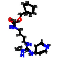 N#CNC(=Nc1ccncc1)NCCCCNC(=O)OCc1ccccc1